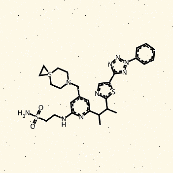 CC(c1cc(CN2CCS3(CC2)CC3)cc(NCCS(N)(=O)=O)n1)C(C)c1ncc(-c2nnn(-c3ccccc3)n2)s1